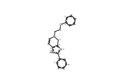 C1=CN(CCOc2ccccc2)Cc2nc(-c3ccccc3)[nH]c21